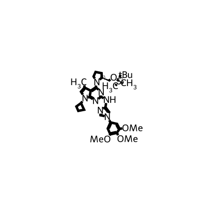 COc1cc(-n2cnc(Nc3nc(N4CCC[C@H]4CO[Si](C)(C)C(C)(C)C)c4c(C)cn(C5CCC5)c4n3)c2)cc(OC)c1OC